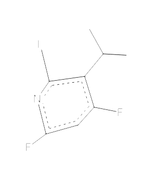 CC(C)c1c(F)cc(F)nc1F